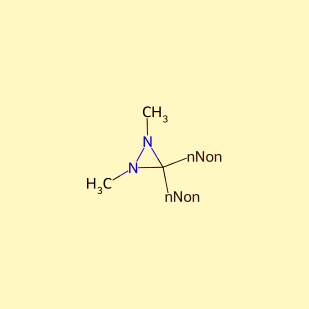 CCCCCCCCCC1(CCCCCCCCC)N(C)N1C